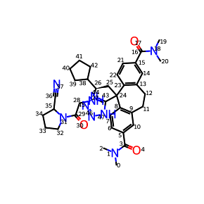 CN(C)C(=O)c1ccc2c(c1)CCc1cc(C(=O)N(C)C)ccc1C2(C[C@@H](NCC(=O)N1CCCC1C#N)C1CCCC1)c1nnn[nH]1